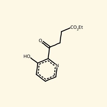 CCOC(=O)CCC(=O)c1ncccc1O